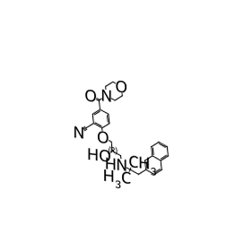 CC(C)(Cc1ccc2ccccc2c1)NC[C@@H](O)COc1ccc(C(=O)N2CCOCC2)cc1C#N